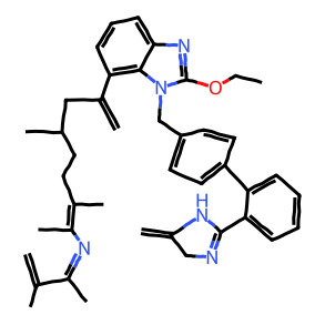 C=C1CN=C(c2ccccc2-c2ccc(Cn3c(OCC)nc4cccc(C(=C)CC(C)CC/C(C)=C(C)/N=C(/C)C(=C)C)c43)cc2)N1